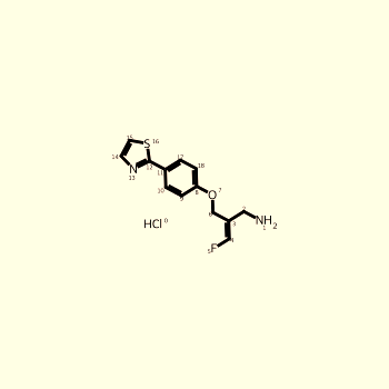 Cl.NC/C(=C/F)COc1ccc(-c2nccs2)cc1